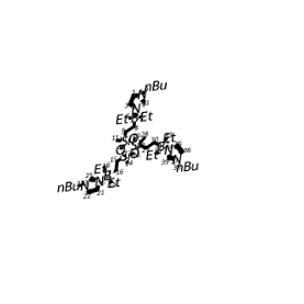 CCCCn1cc[n+]([B-](CC)(CC)CC[Si]2(C)O[Si](C)(CC[B-](CC)(CC)[n+]3ccn(CCCC)c3)O[Si](C)(CC[B-](CC)(CC)[n+]3ccn(CCCC)c3)O2)c1